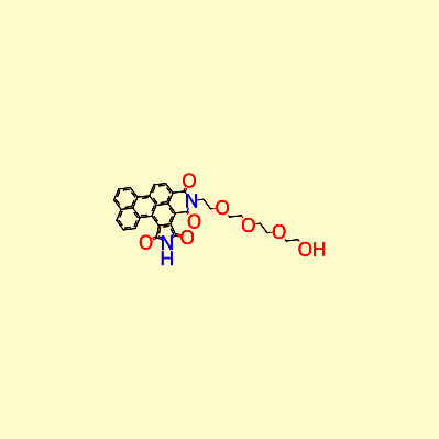 O=C1c2ccc3c4cccc5cccc(c54)c4c5c(=O)[nH]c(=O)c5c(c2c34)C(=O)N1CCOCCOCCOCCO